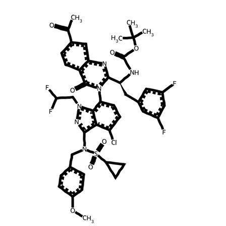 COc1ccc(CN(c2nn(CC(F)F)c3c(-n4c([C@H](Cc5cc(F)cc(F)c5)NC(=O)OC(C)(C)C)nc5cc(C(C)=O)ccc5c4=O)ccc(Cl)c23)S(=O)(=O)C2CC2)cc1